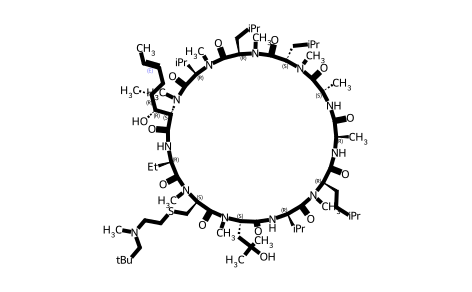 C/C=C/C[C@@H](C)[C@@H](O)[C@H]1C(=O)N[C@H](CC)C(=O)N(C)[C@H](CSCCN(C)CC(C)(C)C)C(=O)N(C)[C@@H](CC(C)(C)O)C(=O)N[C@H](C(C)C)C(=O)N(C)[C@H](CCC(C)C)C(=O)N[C@H](C)C(=O)N[C@@H](C)C(=O)N(C)[C@@H](CC(C)C)C(=O)N(C)[C@H](CC(C)C)C(=O)N(C)[C@H](C(C)C)C(=O)N1C